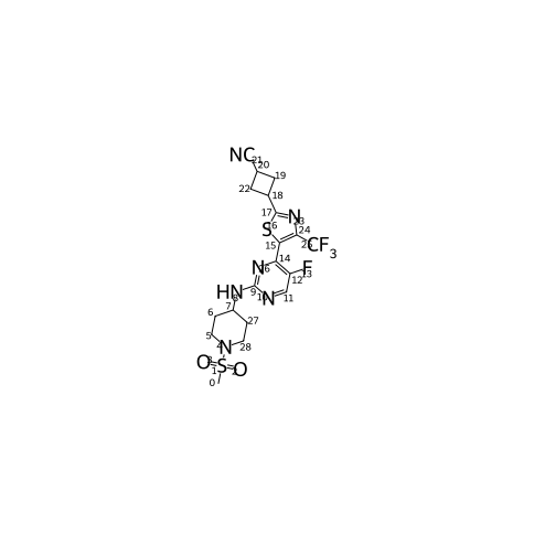 CS(=O)(=O)N1CCC(Nc2ncc(F)c(-c3sc(C4CC(C#N)C4)nc3C(F)(F)F)n2)CC1